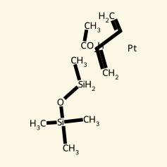 C=CC=C.CC(=O)O.C[SiH2]O[Si](C)(C)C.[Pt]